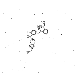 O=CC1NN=C(Cc2ccc(F)c(C(=O)N3CCc4cn(CC5CC5)nc4C3)c2)c2ccccc21